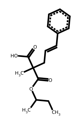 CCC(C)OC(=O)C(C)(CC=Cc1ccccc1)C(=O)O